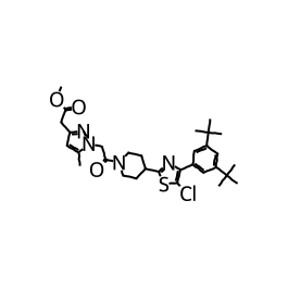 COC(=O)Cc1cc(C)n(CC(=O)N2CCC(c3nc(-c4cc(C(C)(C)C)cc(C(C)(C)C)c4)c(Cl)s3)CC2)n1